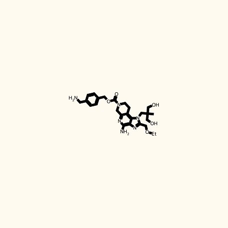 CCOCc1nc2c(N)nc3c(c2n1CC(C)(CO)CO)CCN(C(=O)OCc1ccc(CN)cc1)C3